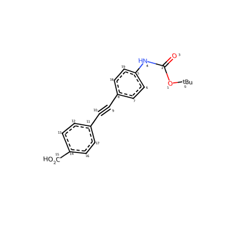 CC(C)(C)OC(=O)Nc1ccc(C#Cc2ccc(C(=O)O)cc2)cc1